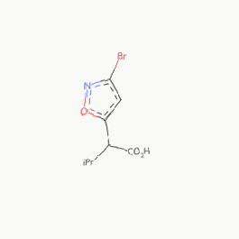 CC(C)C(C(=O)O)c1cc(Br)no1